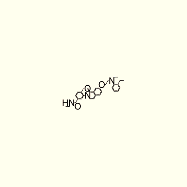 CCNC(=O)c1ccc(C)c(-n2ccc3ccc(OCCN(CC)c4ccccc4CC)cc3c2=O)c1